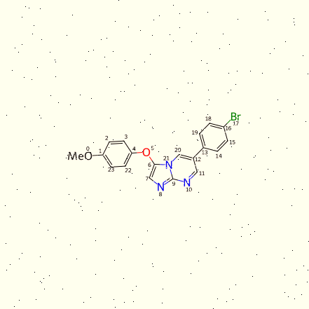 COc1ccc(Oc2cnc3ncc(-c4ccc(Br)cc4)cn23)cc1